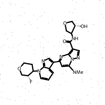 CNc1cc(-c2cnc3n(C4CCOC[C@H]4F)cccc2-3)nc2c(C(=O)NC3COC[C@@H]3O)cnn12